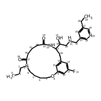 CCCN1CCCCOc2cc(F)cc(c2)CC(C(O)CNCc2cncc(CC)c2)NC(=O)CCCC1=O